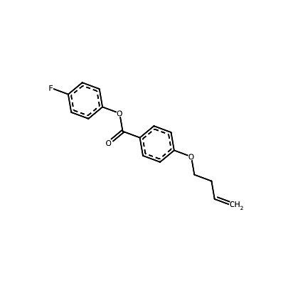 C=CCCOc1ccc(C(=O)Oc2ccc(F)cc2)cc1